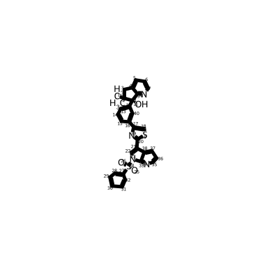 CC1(C)Cc2cccnc2[C@]1(O)c1cccc(-c2csc(-c3cn(S(=O)(=O)c4ccccc4)c4ncccc34)n2)c1